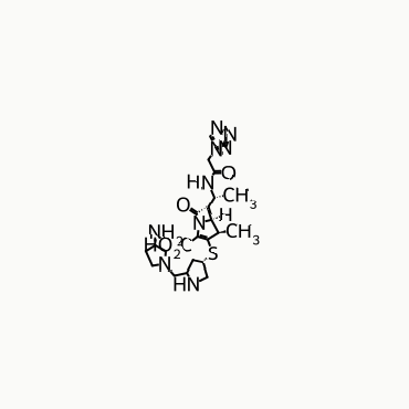 C[C@@H](NC(=O)Cn1cnnn1)[C@H]1C(=O)N2C(C(=O)O)=C(S[C@@H]3CNC(CN4CC[C@@H](N)C4)C3)[C@H](C)[C@H]12